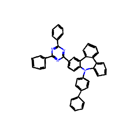 c1ccc(-c2ccc(N3c4ccccc4-c4ccccc4-c4cc(-c5nc(-c6ccccc6)nc(-c6ccccc6)n5)ccc43)cc2)cc1